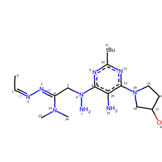 C/C=N\N=C(\CN(N)c1nc(C(C)(C)C)nc(N2CCC(O)C2)c1N)N(C)C